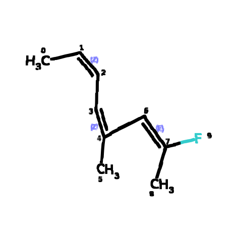 C\C=C/C=C(C)\C=C(/C)F